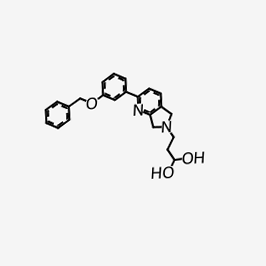 OC(O)CCN1Cc2ccc(-c3cccc(OCc4ccccc4)c3)nc2C1